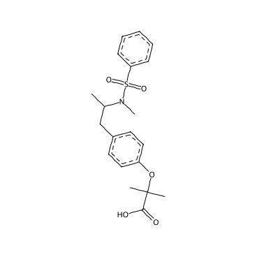 CC(Cc1ccc(OC(C)(C)C(=O)O)cc1)N(C)S(=O)(=O)c1ccccc1